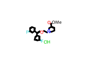 COC(=O)C1=CCCN(CCOC=C(c2cccc(F)c2)c2cccc(F)c2)C1.Cl